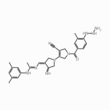 C/C(=N\C=C1\CN(C2=C(C#N)CN(C(=O)c3ccc(NNN)c(C)c3)C2)CC1=N)Nc1cc(C)cc(C)c1